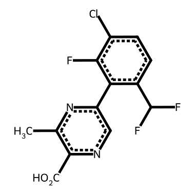 Cc1nc(-c2c(C(F)F)ccc(Cl)c2F)cnc1C(=O)O